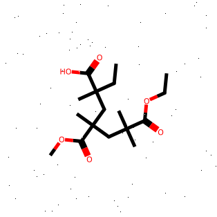 CCOC(=O)C(C)(C)CC(C)(CC(C)(CC)C(=O)O)C(=O)OC